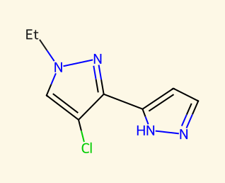 CCn1cc(Cl)c(-c2ccn[nH]2)n1